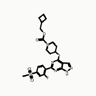 CS(=O)(=O)c1ccc(-c2nc(SC3CCN(C(=O)OCC4CCC4)CC3)c3cn[nH]c3n2)c(F)c1